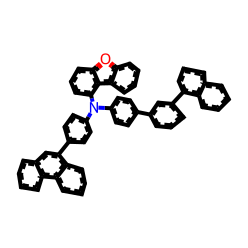 c1cc(-c2ccc(N(c3ccc(-c4cc5ccccc5c5ccccc45)cc3)c3cccc4oc5ccccc5c34)cc2)cc(-c2cccc3ccccc23)c1